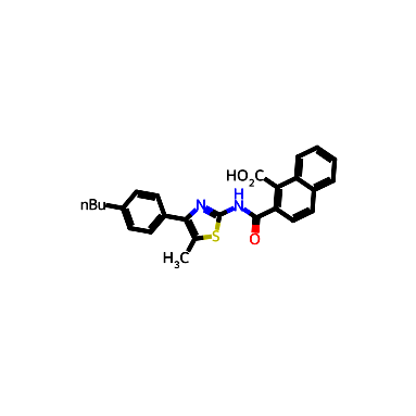 CCCCc1ccc(-c2nc(NC(=O)c3ccc4ccccc4c3C(=O)O)sc2C)cc1